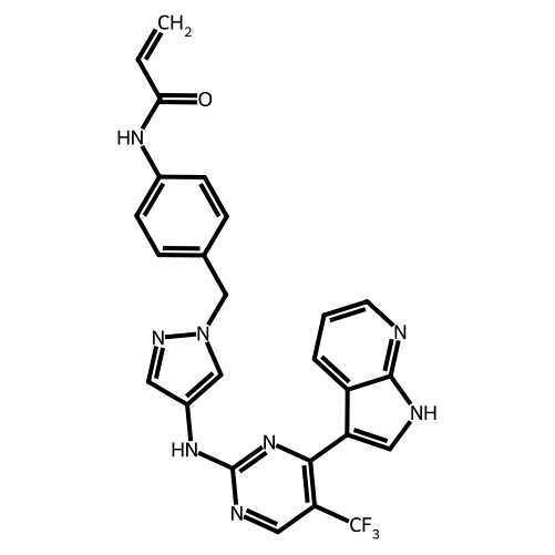 C=CC(=O)Nc1ccc(Cn2cc(Nc3ncc(C(F)(F)F)c(-c4c[nH]c5ncccc45)n3)cn2)cc1